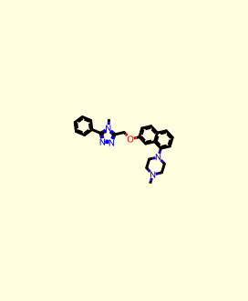 CN1CCN(c2cccc3ccc(OCc4nnc(-c5ccccc5)n4C)cc23)CC1